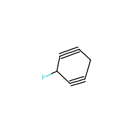 FC1C#CCC#C1